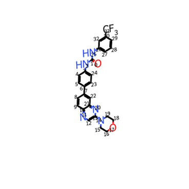 O=C(Nc1ccc(-c2ccc3ncc(N4CCOCC4)nc3c2)cc1)Nc1cccc(C(F)(F)F)c1